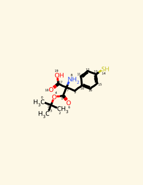 CC(C)(C)OC(=O)C(N)(Cc1ccc(S)cc1)C(=O)O